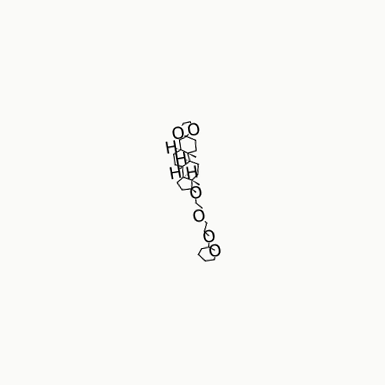 C[C@]12CCC3(C[C@@H]1CC[C@@H]1[C@@H]2CC[C@]2(C)[C@@H](OCCOCCOC4CCCCO4)CC[C@@H]12)OCCO3